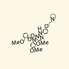 COCc1ccccc1OC(=O)N(c1ccnc(Nc2cccc(OCCCN3CCCCC3)c2)n1)c1ccc(OC)cc1OC